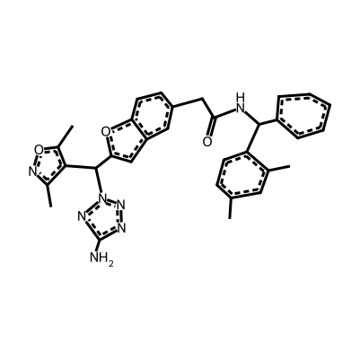 Cc1ccc(C(NC(=O)Cc2ccc3oc(C(c4c(C)noc4C)n4nnc(N)n4)cc3c2)c2ccccc2)c(C)c1